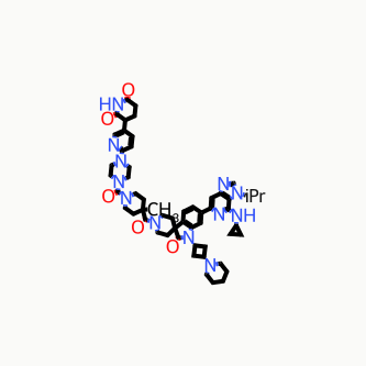 CC(C)n1cnc2cc(-c3ccc4c(c3)N([C@H]3C[C@@H](N5CCCCC5)C3)C(=O)C43CCN(C(=O)C4(C)CCN(C(=O)N5CCN(c6ccc(C7CCC(=O)NC7=O)cn6)CC5)CC4)CC3)nc(NC3CC3)c21